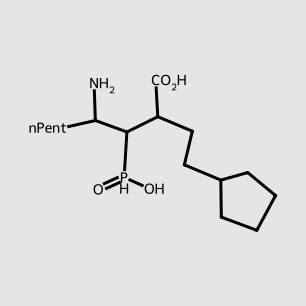 CCCCCC(N)C(C(CCC1CCCC1)C(=O)O)[PH](=O)O